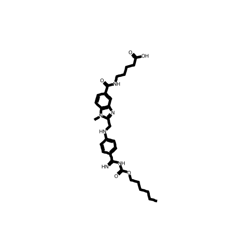 CCCCCCOC(=O)NC(=N)c1ccc(NCc2nc3cc(C(=O)NCCCCC(=O)O)ccc3n2C)cc1